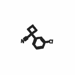 N#CC1(c2cccc(Cl)c2)CCC1